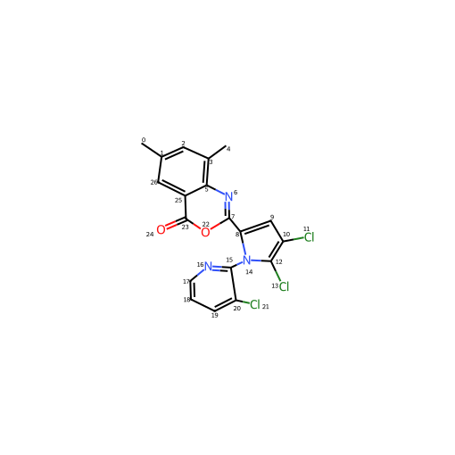 Cc1cc(C)c2nc(-c3cc(Cl)c(Cl)n3-c3ncccc3Cl)oc(=O)c2c1